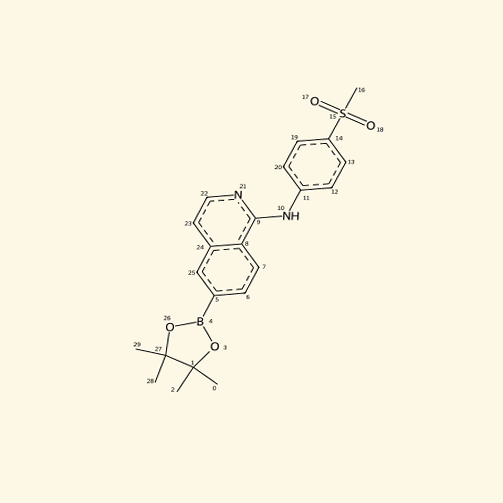 CC1(C)OB(c2ccc3c(Nc4ccc(S(C)(=O)=O)cc4)nccc3c2)OC1(C)C